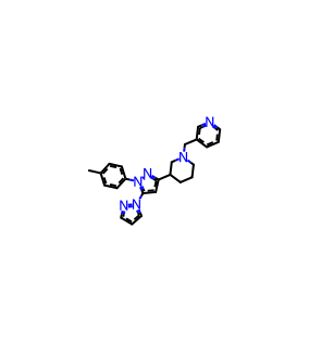 Cc1ccc(-n2nc(C3CCCN(Cc4cccnc4)C3)cc2-n2cccn2)cc1